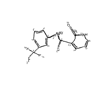 O=C(Nc1cccc(C(F)(F)F)c1)c1ccc[nH]c1=O